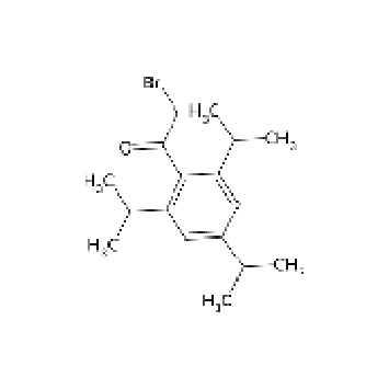 CC(C)c1cc(C(C)C)c(C(=O)CBr)c(C(C)C)c1